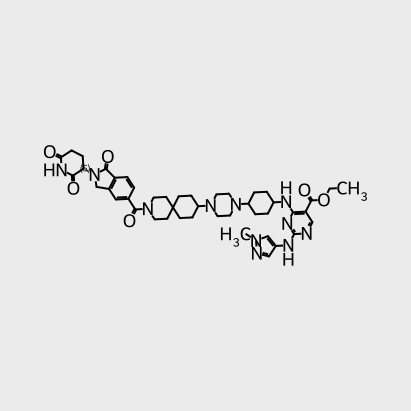 CCOC(=O)c1cnc(Nc2cnn(C)c2)nc1NC1CCC(N2CCN(C3CCC4(CC3)CCN(C(=O)c3ccc5c(c3)CN([C@H]3CCC(=O)NC3=O)C5=O)CC4)CC2)CC1